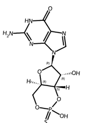 Nc1nc2c(ncn2[C@@H]2O[C@@H]3COP(O)(=S)O[C@H]3[C@H]2O)c(=O)[nH]1